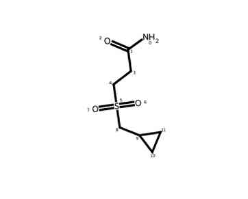 NC(=O)CCS(=O)(=O)CC1CC1